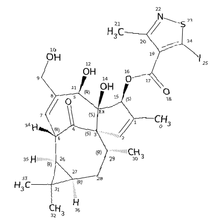 CC1=C[C@]23C(=O)[C@@H](C=C(CO)[C@@H](O)[C@]2(O)[C@H]1OC(=O)c1c(C)nsc1I)[C@H]1[C@@H](C[C@H]3C)C1(C)C